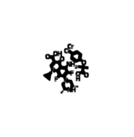 CC(C)(Oc1ccc(Cl)cc1)C(=O)O.C[C@@H]1CN(c2c(F)c(N)c3c(=O)c(C(=O)O)cn(C4CC4)c3c2F)C[C@H](C)N1.[Cr]